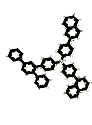 c1ccc(-c2ccc(-c3ccccc3)c(-c3ccc(N(c4ccc(-c5ccc6ccccc6c5)cc4)c4ccc(-c5cccc6ccccc56)cc4)cc3)c2)cc1